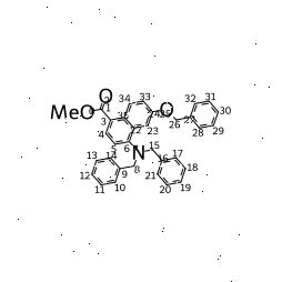 COC(=O)c1ccc(N(Cc2ccccc2)Cc2ccccc2)c2cc(OCc3ccccc3)ccc12